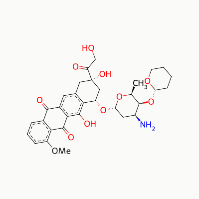 COc1cccc2c1C(=O)c1c(cc3c(c1O)[C@@H](O[C@H]1C[C@H](N)[C@H](O[C@H]4CCCCO4)[C@H](C)O1)C[C@](O)(C(=O)CO)C3)C2=O